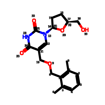 Cc1cccc(C)c1COCc1cn([C@H]2CC[C@@H](CO)O2)c(=O)[nH]c1=O